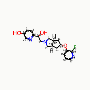 Oc1ccc([C@@H](O)CN2C[C@H]3CC(Oc4cccnc4F)C[C@H]3C2)nc1